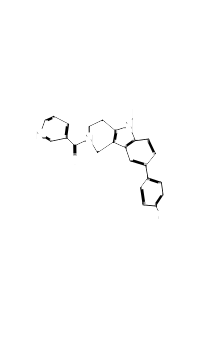 CCn1c2c(c3cc(-c4ccc(C)cc4)ccc31)CN(C(=O)c1cccnc1)CC2